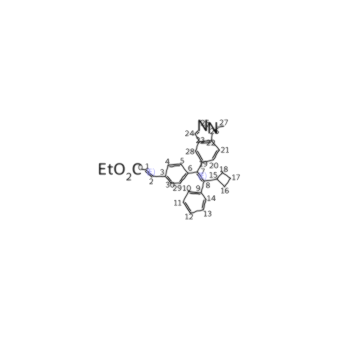 CCOC(=O)/C=C/c1ccc(/C(=C(\c2ccccc2)C2CCC2)c2ccc3c(cnn3C)c2)cc1